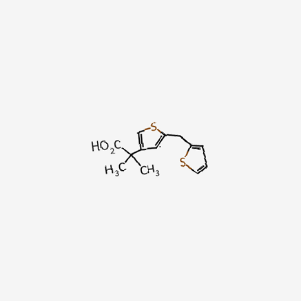 CC(C)(C(=O)O)c1[c]c(Cc2cccs2)sc1